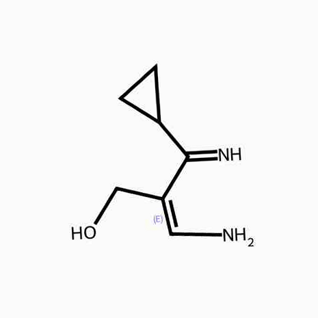 N=C(/C(=C\N)CO)C1CC1